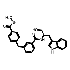 CNC(=O)c1ccc(Cc2cccc(C(=O)N[C@@H](CO)Cc3c[nH]c4ccccc34)c2)cc1